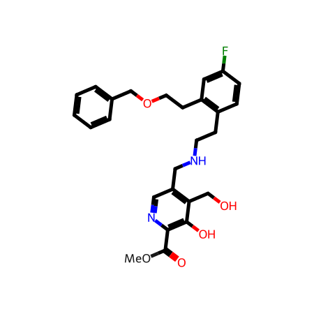 COC(=O)c1ncc(CNCCc2ccc(F)cc2CCOCc2ccccc2)c(CO)c1O